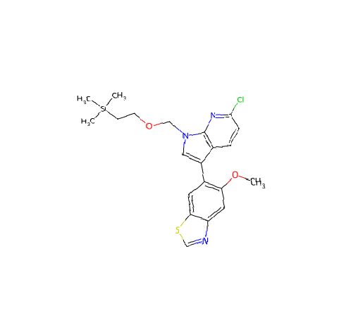 COc1cc2ncsc2cc1-c1cn(COCC[Si](C)(C)C)c2nc(Cl)ccc12